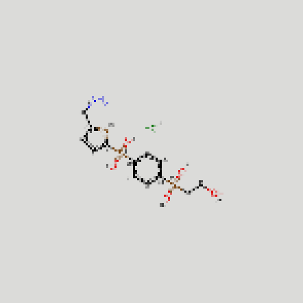 Cl.NCc1ccc(S(=O)(=O)c2ccc(S(=O)(=O)CCO)cc2)s1